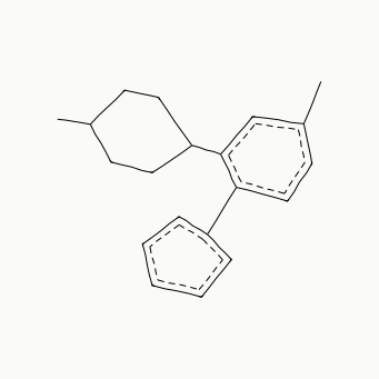 Cc1ccc(-c2ccccc2)c(C2CCC(C)CC2)c1